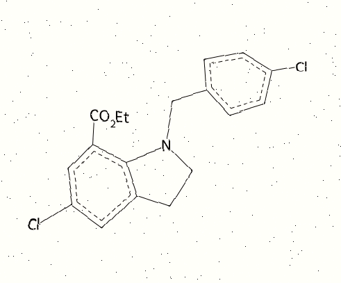 CCOC(=O)c1cc(Cl)cc2c1N(Cc1ccc(Cl)cc1)CC2